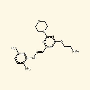 CNCCOc1cc(C=NNc2cc(C)ccc2N)nc(N2CCOCC2)n1